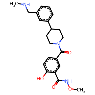 CNCc1cccc(C2CCN(C(=O)c3ccc(O)c(C(=O)NOC)c3)CC2)c1